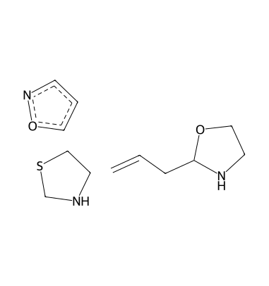 C1CSCN1.C=CCC1NCCO1.c1cnoc1